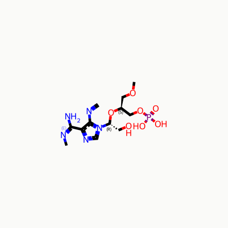 C=Nc1c(/C(N)=N\C)ncn1[C@@H](CO)O[C@@H](COC)COP(=O)(O)O